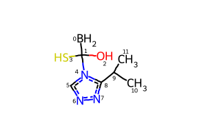 BC(O)(S)n1cnnc1C(C)C